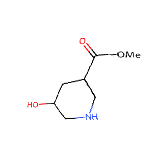 COC(=O)C1CNCC(O)C1